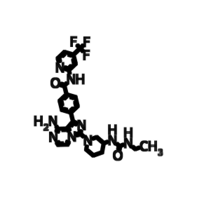 CCNC(=O)NC1CCCN(c2nc(-c3ccc(C(=O)Nc4cc(C(F)(F)F)ccn4)cc3)c3c(N)nccn23)C1